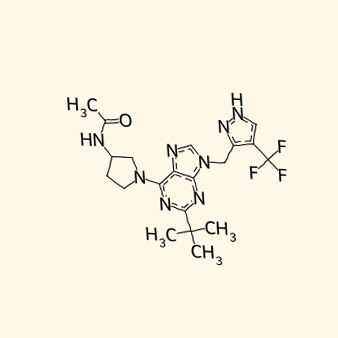 CC(=O)NC1CCN(c2nc(C(C)(C)C)nc3c2ncn3Cc2n[nH]cc2C(F)(F)F)C1